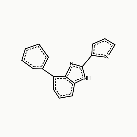 c1ccc(-c2cccc3[nH]c(-c4cccs4)nc23)cc1